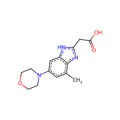 Cc1cc(N2CCOCC2)cc2[nH]c(CC(=O)O)nc12